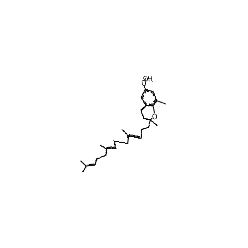 CC(C)=CCC/C(C)=C/CC/C(C)=C/CCC1(C)CCc2cc(OO)cc(C)c2O1